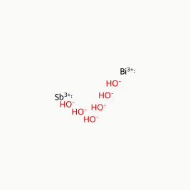 [Bi+3].[OH-].[OH-].[OH-].[OH-].[OH-].[OH-].[Sb+3]